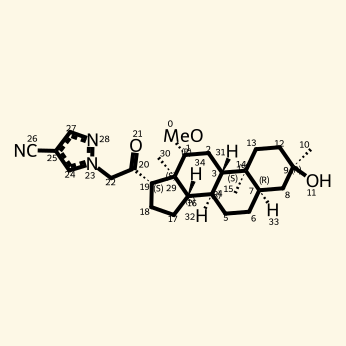 CO[C@@H]1C[C@H]2[C@@H](CC[C@@H]3C[C@](C)(O)CC[C@@]32C)[C@@H]2CC[C@H](C(=O)Cn3cc(C#N)cn3)[C@@]12C